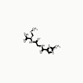 CSC[C@@H](NC(=O)CNC(=O)c1cnc(C)s1)C(=O)O